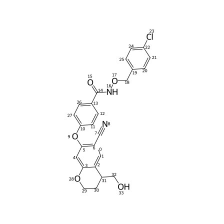 C\C=C1/C(=C\C(=C\C#N)Oc2ccc(C(=O)NOCc3ccc(Cl)cc3)cc2)OCCC1CO